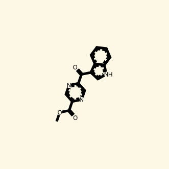 COC(=O)c1cnc(C(=O)c2c[nH]c3ccccc23)cn1